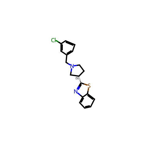 Clc1cccc(CN2CC[C@H](c3nc4ccccc4s3)C2)c1